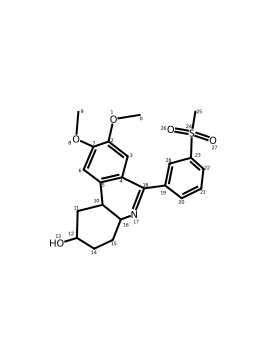 COc1cc2c(cc1OC)C1CC(O)CCC1N=C2c1cccc(S(C)(=O)=O)c1